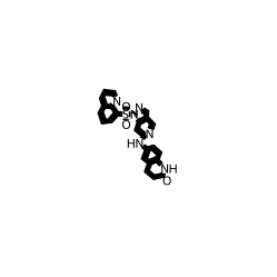 O=C1CCc2cc(Nc3cc4c(cn3)cnn4S(=O)(=O)c3cccc4cccnc34)ccc2N1